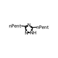 CCCCCc1n[nH]c(CCCCC)n1